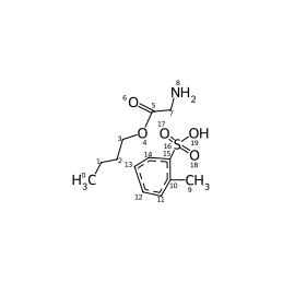 CCCCOC(=O)CN.Cc1ccccc1S(=O)(=O)O